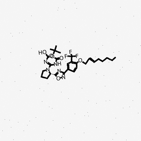 CCCCC/C=C/COc1ccc(-c2noc([C@@H]3CCCN3/C(=N/C(=O)O)NC(=O)OC(C)(C)C)n2)cc1C(F)(F)F